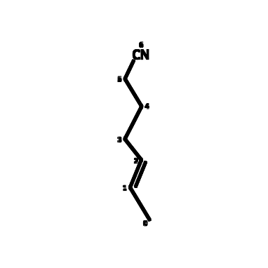 C/C=C/CCCC#N